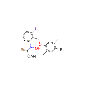 CCc1cc(C)c(OCc2c(I)cccc2N(O)C(=S)OC)cc1C